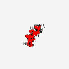 CCCC[C@H](NC(=O)CCc1c[nH]c2ccccc12)C(=O)N[C@H](CCCNC(=N)N)C(=O)N[C@H](Cc1c[nH]c2ccccc12)C(=O)N[C@@H](C(=O)NC(SCC(=O)NC(=O)N[C@H](Cc1ccc2ccccc2c1)C(=O)N[C@H](C(=O)N[C@@H](CO)C(=O)NC(=O)N[C@H](CCCCN)C(=O)N[C@@H](CC(=O)O)C(N)=O)[C@@H](C)CC)C(N)=O)C(C)C